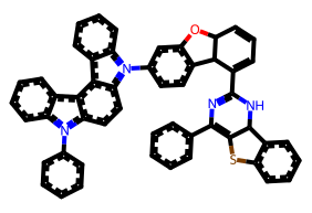 C1=CC2Oc3cc(-n4c5ccccc5c5c6c7ccccc7n(-c7ccccc7)c6ccc54)ccc3C2C(C2=NC(c3ccccc3)=C3Sc4ccccc4C3N2)=C1